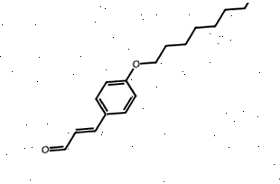 CCCCCCCCOc1ccc(/C=C/[C]=O)cc1